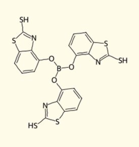 Sc1nc2c(OB(Oc3cccc4sc(S)nc34)Oc3cccc4sc(S)nc34)cccc2s1